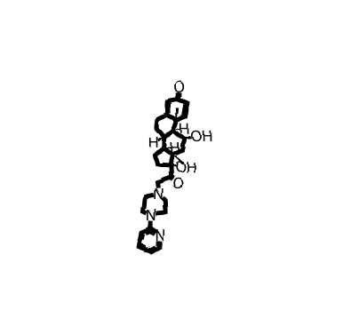 C[C@]12C=CC(=O)C=C1CC[C@@H]1[C@@H]2[C@@H](O)C[C@@]2(C)[C@H]1CC[C@]2(O)C(=O)CN1CCN(c2ccccn2)CC1